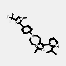 Cc1nc(-c2cccnc2C(C)C)c2n1CCN(c1ccc(-c3nc(C(F)(F)F)cn3C)cc1)CC2